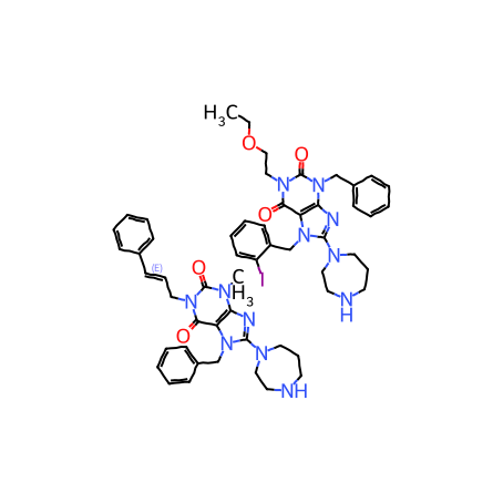 CCOCCn1c(=O)c2c(nc(N3CCCNCC3)n2Cc2ccccc2I)n(Cc2ccccc2)c1=O.Cn1c(=O)n(C/C=C/c2ccccc2)c(=O)c2c1nc(N1CCCNCC1)n2Cc1ccccc1